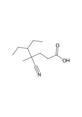 CCC(CC)C(C)(C#N)CCC(=O)O